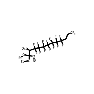 CCCCCCCCC(C(OCC)(OCC)OCC)C(F)(F)C(F)(F)C(F)(F)C(F)(F)C(F)(F)C(F)(F)C(F)(F)CCC(F)(F)F